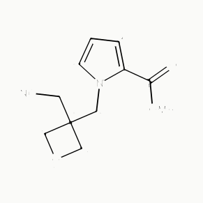 COC(=O)c1cccn1CC1(CC#N)COC1